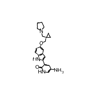 Nc1c[nH]c(=O)c(-c2cc3cc(OCC4(CN5CCCC5)CC4)ccc3[nH]2)c1